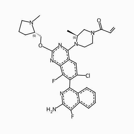 C=CC(=O)N1CCN(c2nc(OC[C@@H]3CCCN3C)nc3c(F)c(-c4nc(N)c(F)c5ccccc45)c(Cl)cc23)[C@@H](C)C1